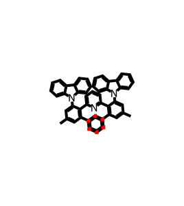 Cc1cc(-c2ccccc2)c(-c2cccc(-c3c(-c4ccccc4)cc(C)cc3-n3c4ccccc4c4ccccc43)n2)c(-n2c3ccccc3c3ccccc32)c1